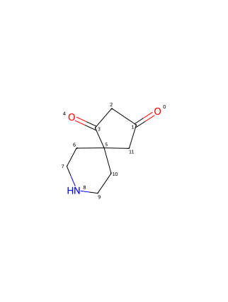 O=C1CC(=O)C2(CCNCC2)C1